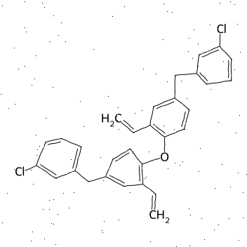 C=Cc1cc(Cc2cccc(Cl)c2)ccc1Oc1ccc(Cc2cccc(Cl)c2)cc1C=C